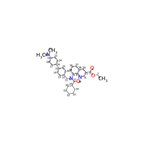 CCOC(=O)c1cnc2c(N(Cc3ccc(-c4ccc(N(C)C)cc4)cc3)C(=O)C3CCCCC3)cccc2c1